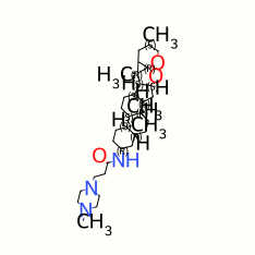 C[C@@H]1CO[C@]23O[C@H]4C[C@H]5[C@@H]6CC[C@@H]7C[C@H](NC(=O)CCN8CCN(C)CC8)CC[C@]7(C)[C@H]6CC[C@]5(C)[C@H]4[C@]2(C)C3C1